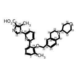 Cc1cccc(-c2cccc(-n3cnc(C(=O)O)c3C)n2)c1OCc1ccc2c(c1)CCN(C1CCOCC1)C2